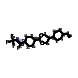 C=CC1CCC(C2COC(C3CCC(/C(F)=C/C(F)(F)F)CC3)OC2)CC1